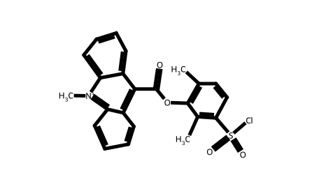 Cc1ccc(S(=O)(=O)Cl)c(C)c1OC(=O)c1c2ccccc2[n+](C)c2ccccc12